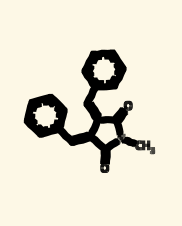 CN1C(=O)C(=C\c2ccccc2)/C(=C\c2ccccc2)C1=O